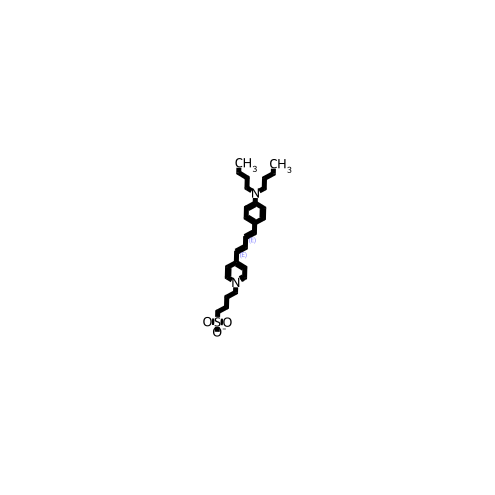 CCCCN(CCCC)c1ccc(/C=C/C=C/c2cc[n+](CCCCS(=O)(=O)[O-])cc2)cc1